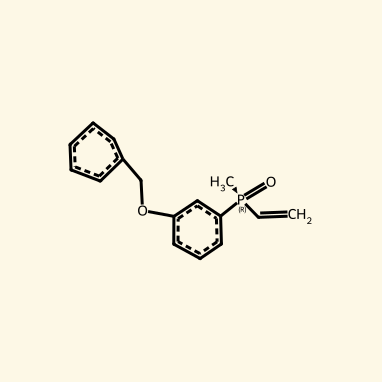 C=C[P@@](C)(=O)c1cccc(OCc2ccccc2)c1